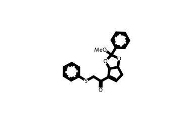 COC1(c2ccccc2)OC2CC=C(C(=O)CSc3ccccc3)C2O1